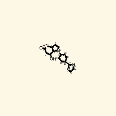 O=c1cc(O)c2c(ccn2-c2ccc(-c3nccs3)cc2)[nH]1